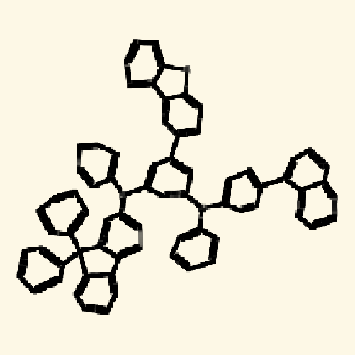 c1ccc(N(c2ccc(-c3cccc4ccccc34)cc2)c2cc(-c3ccc4sc5ccccc5c4c3)cc(N(c3ccccc3)c3ccc4c(c3)C(c3ccccc3)(c3ccccc3)c3ccccc3-4)c2)cc1